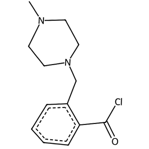 CN1CCN(Cc2ccccc2C(=O)Cl)CC1